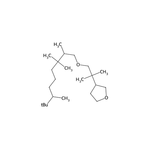 CC(CCCC(C)(C)C(C)COCC(C)(C)C1CCOC1)C(C)(C)C